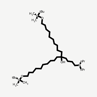 CCCN(CCC)CCCCC(O)(CCCCCCCCCCO[Si](C)(C)C(C)(C)C)CCCCCCCCCCO[Si](C)(C)C(C)(C)C